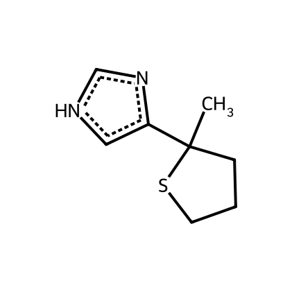 CC1(c2c[nH]cn2)CCCS1